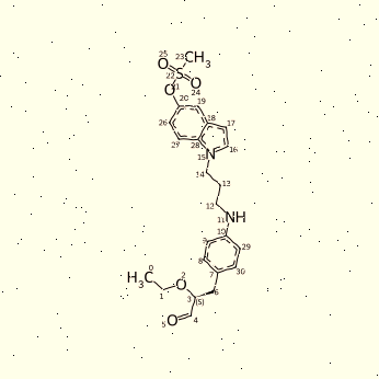 CCO[C@H](C=O)Cc1ccc(NCCCn2ccc3cc(OS(C)(=O)=O)ccc32)cc1